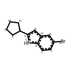 Brc1ccc2[nH]c(C3CCCC3)cc2c1